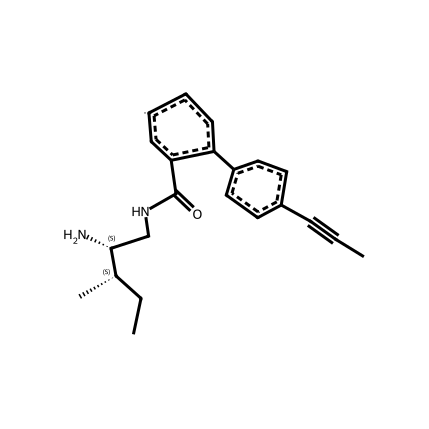 CC#Cc1ccc(-c2cc[c]cc2C(=O)NC[C@@H](N)[C@@H](C)CC)cc1